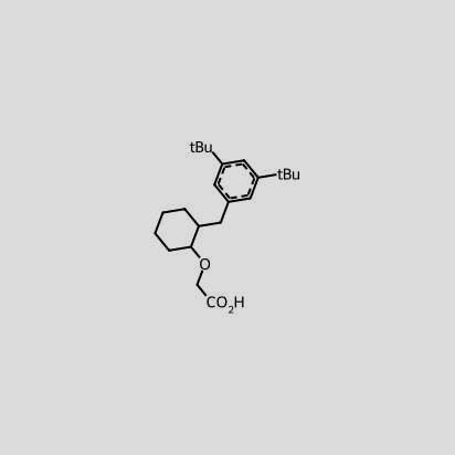 CC(C)(C)c1cc(CC2CCCCC2OCC(=O)O)cc(C(C)(C)C)c1